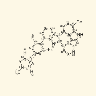 CN1C[C@@H]2C[C@H]1CN2c1cc(F)c(-c2ccnc3c(-c4ccc(F)c5[nH]ncc45)c(-c4ccncc4)nn23)c(F)c1